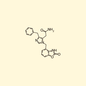 NC(=O)Cc1c(Cc2ccccc2)ncn1Cc1cccc2oc(=O)[nH]c12